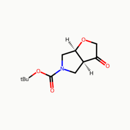 CC(C)(C)OC(=O)N1C[C@@H]2C(=O)CO[C@@H]2C1